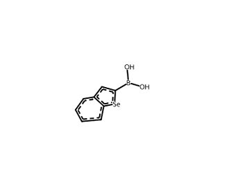 OB(O)c1cc2ccccc2[se]1